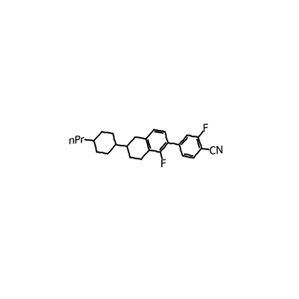 CCCC1CCC(C2CCc3c(ccc(-c4ccc(C#N)c(F)c4)c3F)C2)CC1